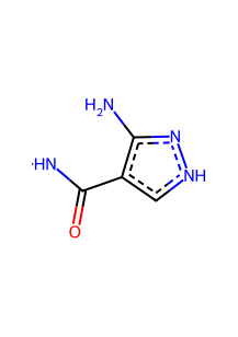 [NH]C(=O)c1c[nH]nc1N